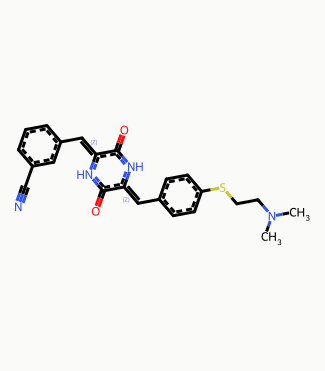 CN(C)CCSc1ccc(/C=c2\[nH]c(=O)/c(=C/c3cccc(C#N)c3)[nH]c2=O)cc1